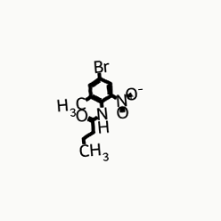 CCCC(=O)Nc1c(C)cc(Br)cc1[N+](=O)[O-]